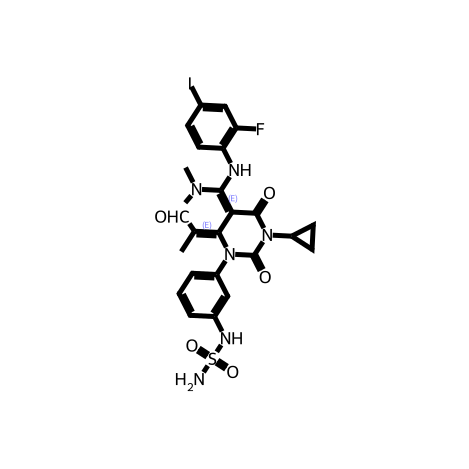 C/C(C=O)=c1/c(=C(/Nc2ccc(I)cc2F)N(C)C)c(=O)n(C2CC2)c(=O)n1-c1cccc(NS(N)(=O)=O)c1